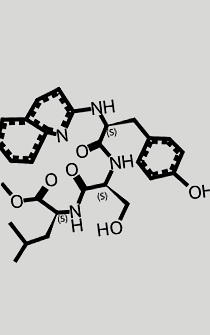 COC(=O)[C@H](CC(C)C)NC(=O)[C@H](CO)NC(=O)[C@H](Cc1ccc(O)cc1)Nc1ccc2ccccc2n1